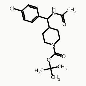 CC(=O)NC(c1ccc(Cl)cc1)C1CCN(C(=O)OC(C)(C)C)CC1